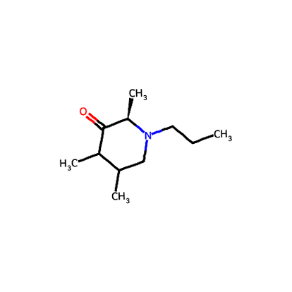 CCCN1CC(C)C(C)C(=O)[C@H]1C